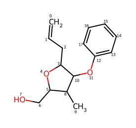 C=CCC1OC(CO)C(C)C1Oc1ccccc1